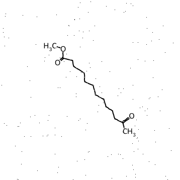 COC(=O)CCCCCCCCCCC(C)=O